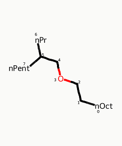 CCCCCCCCCCOCC(CCC)CCCCC